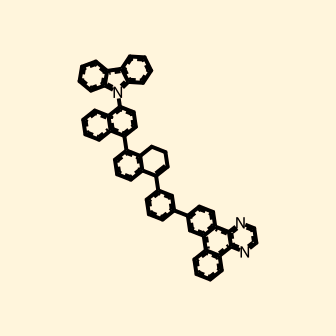 C1=C(c2cccc(-c3ccc4c(c3)c3ccccc3c3nccnc43)c2)c2cccc(-c3ccc(-n4c5ccccc5c5ccccc54)c4ccccc34)c2CC1